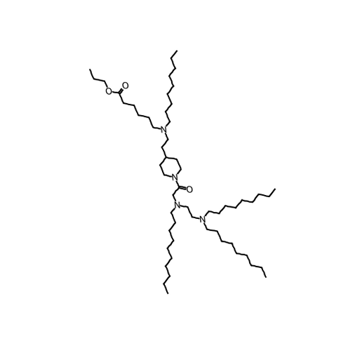 CCCCCCCCCCN(CCN(CCCCCCCCC)CCCCCCCCC)CC(=O)N1CCC(CCN(CCCCCCCCC)CCCCCC(=O)OCCC)CC1